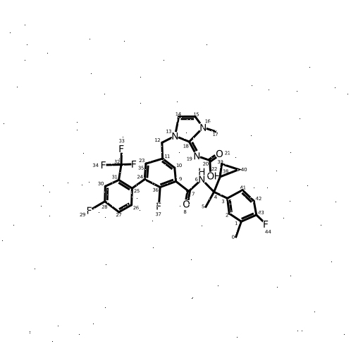 Cc1cc(C(C)(NC(=O)c2cc(Cn3ccn(C)c3=NC(=O)O)cc(-c3ccc(F)cc3C(F)(F)F)c2F)C2CC2)ccc1F